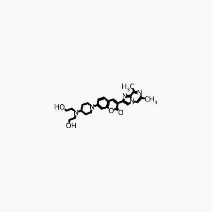 Cc1cn2cc(-c3cc4ccc(N5CCC(N(CCO)CCO)CC5)cc4oc3=O)nc2c(C)n1